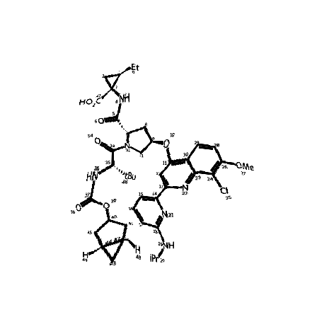 CC[C@@H]1C[C@]1(NC(=O)[C@@H]1C[C@@H](Oc2cc(-c3cccc(NC(C)C)n3)nc3c(Cl)c(OC)ccc23)CN1C(=O)[C@@H](NC(=O)OC1C[C@@H]2C[C@@H]2C1)C(C)(C)C)C(=O)O